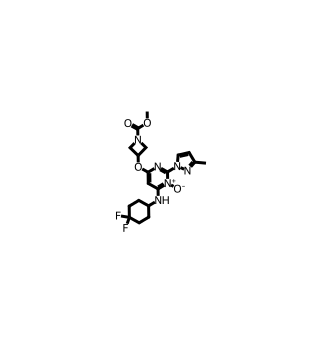 COC(=O)N1CC(Oc2cc(NC3CCC(F)(F)CC3)[n+]([O-])c(-n3ccc(C)n3)n2)C1